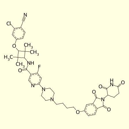 CC1(C)C(NC(=O)c2cnc(N3CCN(CCCCOc4ccc5c(c4)C(=O)N(C4CCC(=O)NC4=O)C5=O)CC3)cc2F)C(C)(C)C1Oc1ccc(C#N)c(Cl)c1